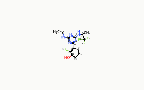 CCNc1nc(N[C@@H](C)C(F)(F)F)nc(C2=C(F)C(O)CCC2)n1